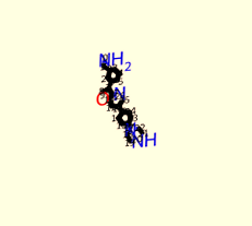 NCc1cccc(-c2coc3cc(-c4ccc(N5CCNCC5)cc4)cnc23)c1